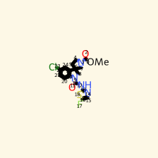 COC(=O)N1CCC2(C1)CN(C(=O)Nc1ncc(F)s1)c1ccc(Cl)cc12